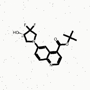 CC(C)(C)OC(=O)c1ccnc2ccc(N3C[C@H](O)C(F)(F)C3)cc12